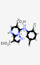 CCOC(=O)c1cnn2c(Nc3cc(C)ccc3Cl)c(C(=O)O)cnc12